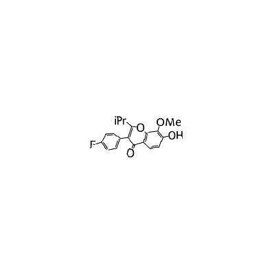 COc1c(O)ccc2c(=O)c(-c3ccc(F)cc3)c(C(C)C)oc12